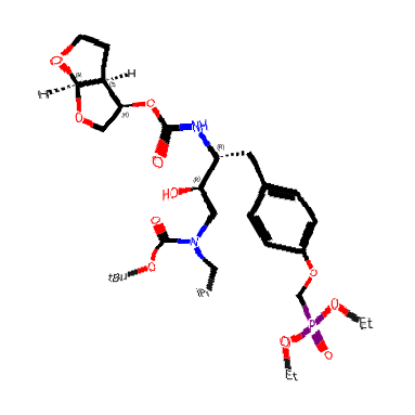 CCOP(=O)(COc1ccc(C[C@@H](NC(=O)O[C@H]2CO[C@H]3OCC[C@H]32)[C@H](O)CN(CC(C)C)C(=O)OC(C)(C)C)cc1)OCC